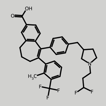 Cc1c(C2=C(c3ccc(CC4CCN(CCC(F)F)C4)cc3)c3ccc(C(=O)O)cc3CCC2)cccc1C(F)(F)F